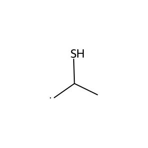 [CH2]C(C)S